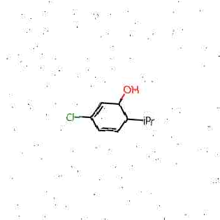 CC(C)C1C=CC(Cl)=CC1O